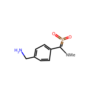 CNC(c1ccc(CN)cc1)=S(=O)=O